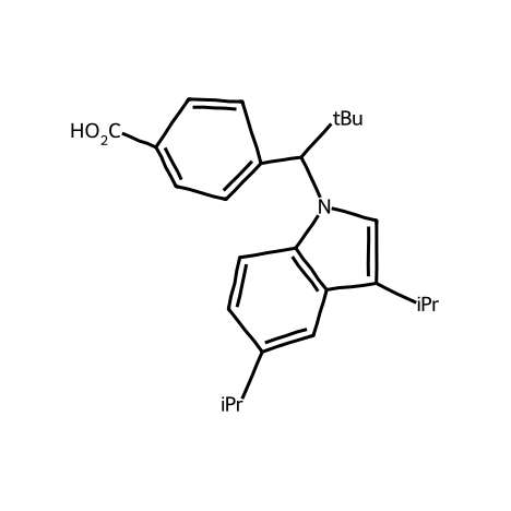 CC(C)c1ccc2c(c1)c(C(C)C)cn2C(c1ccc(C(=O)O)cc1)C(C)(C)C